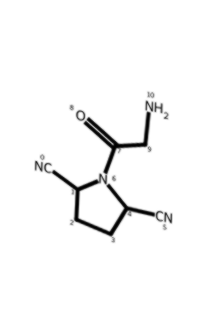 N#CC1CCC(C#N)N1C(=O)CN